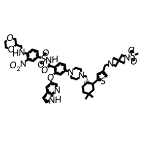 CC1(C)CC[C@H](CN2CCN(c3ccc(C(=O)NS(=O)(=O)c4ccc(NCC5COCCO5)c([N+](=O)[O-])c4)c(Oc4cnc5[nH]ccc5c4)c3)CC2)C(c2cc(CN3CC4(C3)CN(S(C)(=O)=O)C4)cs2)C1